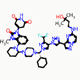 Cn1c(=O)n(C2=CC(=O)NC(=O)C2)c2cccc(N3CCCCC3N3CCN([C@@H](C4CCCCC4)n4cc(-n5cc(-c6cnn7ccc(NCCC(C)(C)O)nc67)nn5)c(C(F)F)n4)CC3)c21